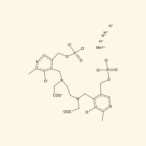 Cc1ncc(COP(=O)([O-])[O-])c(CN(CCN(CC(=O)[O-])Cc2c(COP(=O)([O-])[O-])cnc(C)c2[O-])CC(=O)[O-])c1[O-].[H+].[H+].[H+].[H+].[Mn+2]